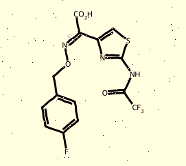 O=C(O)/C(=N/OCc1ccc(F)cc1)c1csc(NC(=O)C(F)(F)F)n1